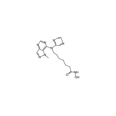 Cn1ncc2ncnc(N(CCCCCCC(=O)NO)c3cnccn3)c21